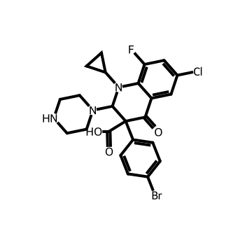 O=C(O)C1(c2ccc(Br)cc2)C(=O)c2cc(Cl)cc(F)c2N(C2CC2)C1N1CCNCC1